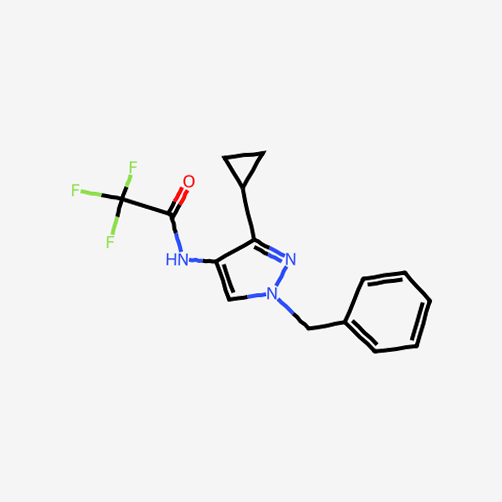 O=C(Nc1cn(Cc2ccccc2)nc1C1CC1)C(F)(F)F